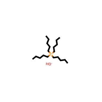 CCCCC[P+](CCCCC)(CCCCC)CCCCC.[OH-]